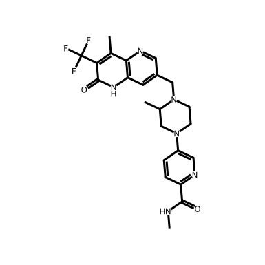 CNC(=O)c1ccc(N2CCN(Cc3cnc4c(C)c(C(F)(F)F)c(=O)[nH]c4c3)C(C)C2)cn1